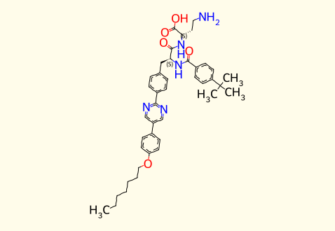 CCCCCCCOc1ccc(-c2cnc(-c3ccc(C[C@H](NC(=O)c4ccc(C(C)(C)C)cc4)C(=O)N[C@@H](CCN)C(=O)O)cc3)nc2)cc1